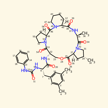 Cc1cc(C)cc(C[C@H](NC(=O)Nc2ccccc2)C(=O)N[C@H]2COC(=O)[C@@H]3C[C@@H](C)CN3C(=O)[C@H](C)NC(=O)[C@@H]3CCCCN3C(=O)[C@@H]3CCCN3C2=O)c1